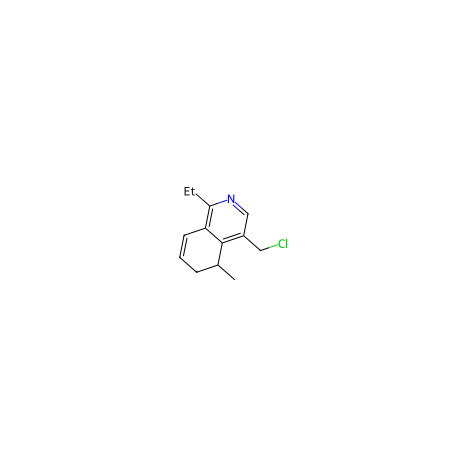 CCc1ncc(CCl)c2c1C=CCC2C